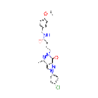 Cc1nn(CCCC(=O)NCc2ccc(OC(C)C)cc2)c(=O)c2nn(-c3ccc(Cl)cc3)cc12